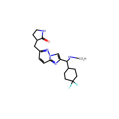 O=C(O)NC(c1cn2nc(CC3CCNC3=O)ccc2n1)C1CCC(F)(F)CC1